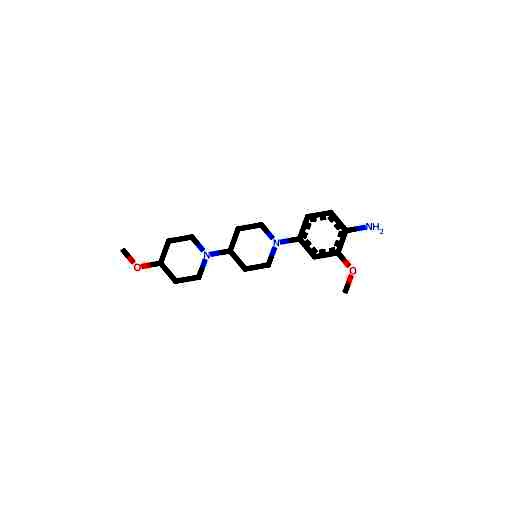 COc1cc(N2CCC(N3CCC(OC)CC3)CC2)ccc1N